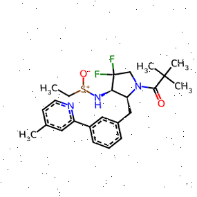 CC[S+]([O-])N[C@@H]1[C@H](Cc2cccc(-c3cc(C)ccn3)c2)N(C(=O)C(C)(C)C)CC1(F)F